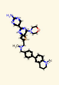 CC(=O)N1CCCc2cc(-c3ccc(CN(C)Cc4cc5nc(-c6cnc(N)nc6)nc(N6CCOCC6)c5s4)cc3)ccc21